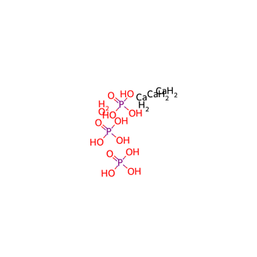 O.O=P(O)(O)O.O=P(O)(O)O.O=P(O)(O)O.[CaH2].[CaH2].[CaH2]